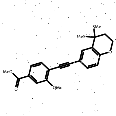 COC(=O)c1ccc(C#Cc2ccc3c(c2)C(SC)(SC)CCO3)c(OC)c1